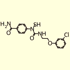 NC(=O)c1ccc(N(S)C(=O)NCCOc2cccc(Cl)c2)cc1